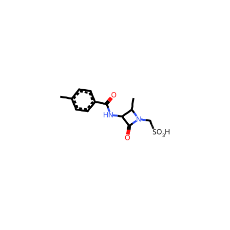 Cc1ccc(C(=O)NC2C(=O)N(CS(=O)(=O)O)C2C)cc1